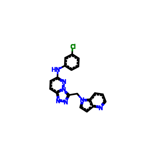 Clc1cccc(Nc2ccc3nnc(Cn4ccc5ncccc54)n3n2)c1